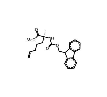 C=CCCC[C@](C)(NC(=O)OCC1c2ccccc2-c2ccccc21)C(=O)OC